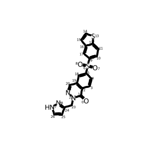 O=c1c2ccc(S(=O)(=O)c3ccc4sccc4c3)cc2cnn1Cc1cc[nH]n1